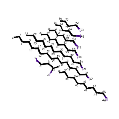 CC(I)CCI.CCCCCCCCCCCCCCCCI.CCCCCCCCCCCCI.CCCCCCCCCCI.CCCCCCCCI.CCCCCCI.CCCCCI.CCCCI